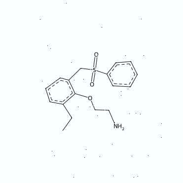 CCc1cccc(CS(=O)(=O)c2ccccc2)c1OCCN